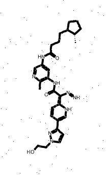 Cc1ncc(NC(=O)CCCC2CCC[C@@H]2C)cc1NC(=O)/C(N=N)=C1\C=CC(c2ccn(CCO)n2)=CN1